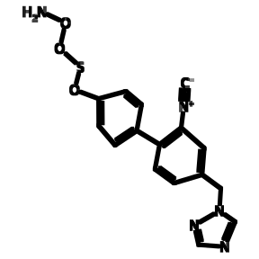 [C-]#[N+]c1cc(Cn2cncn2)ccc1-c1ccc(OSOON)cc1